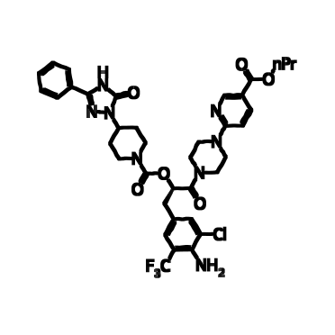 CCCOC(=O)c1ccc(N2CCN(C(=O)[C@@H](Cc3cc(Cl)c(N)c(C(F)(F)F)c3)OC(=O)N3CCC(n4nc(-c5ccccc5)[nH]c4=O)CC3)CC2)nc1